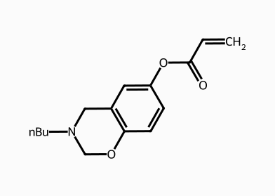 C=CC(=O)Oc1ccc2c(c1)CN(CCCC)CO2